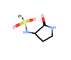 CC(C)S(=O)(=O)NC1CCNC1=O